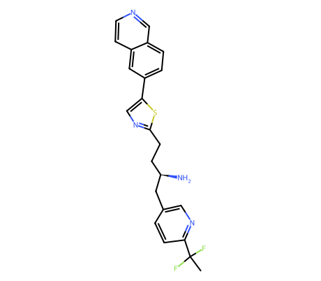 CC(F)(F)c1ccc(C[C@H](N)CCc2ncc(-c3ccc4cnccc4c3)s2)cn1